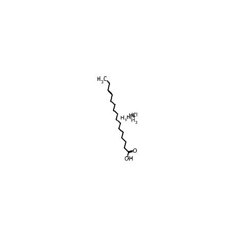 CCCCCCCCCCCCCCCC(=O)O.Cl.N.N